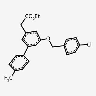 CCOC(=O)Cc1cc(OCc2ccc(Cl)cc2)cc(-c2ccc(C(F)(F)F)cc2)c1